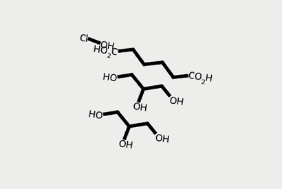 O=C(O)CCCCC(=O)O.OCC(O)CO.OCC(O)CO.OCl